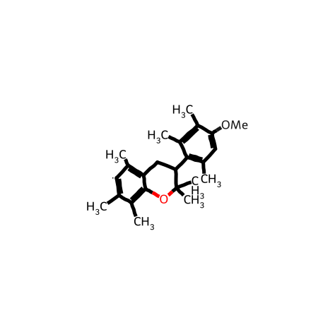 COc1cc(C)c(C2Cc3c(C)[c]c(C)c(C)c3OC2(C)C)c(C)c1C